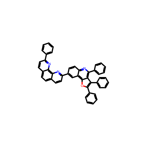 c1ccc(-c2ccc3ccc4ccc(-c5ccc6nc(-c7ccccc7)c7c(-c8ccccc8)c(-c8ccccc8)oc7c6c5)nc4c3n2)cc1